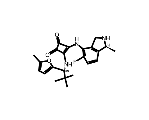 Cc1ccc([C@H](Nc2c(Nc3c(F)ccc4c3CN[C@H]4C)c(=O)c2=O)C(C)(C)C)o1